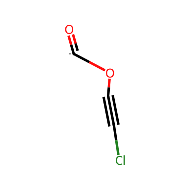 O=[C]OC#CCl